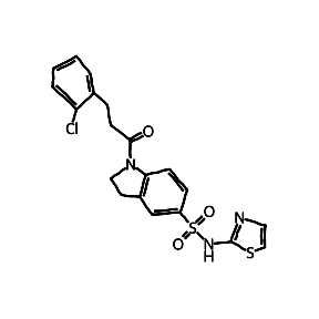 O=C(CCc1ccccc1Cl)N1CCc2cc(S(=O)(=O)Nc3nccs3)ccc21